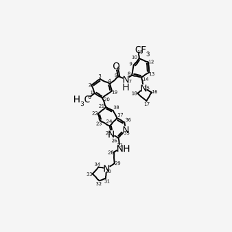 Cc1ccc(C(=O)Nc2cc(C(F)(F)F)ccc2N2CCC2)cc1-c1ccc2nc(NCCN3CCCC3)ncc2c1